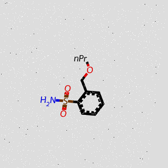 CCCOCc1ccccc1S(N)(=O)=O